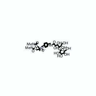 CNC(=O)OCC(C)(COC(=O)NC)/[N+]([O-])=C/c1ccc(CNC(=O)C(O)C(O)[C@H](O[C@@H]2OC(CO)[C@H](O)C(O)C2O)C(O)CO)cc1